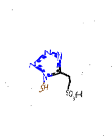 O=S(=O)(O)Cc1nnnn1S